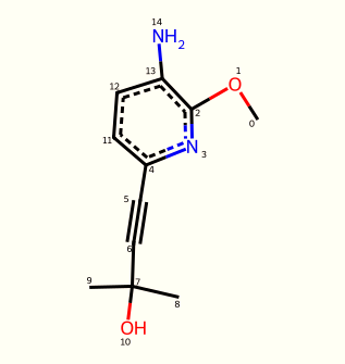 COc1nc(C#CC(C)(C)O)ccc1N